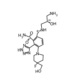 NC[C@@H](O)CNSc1ccc(N2CCC(F)(CO)CC2)c(-c2nn[nH]n2)c1S(N)(=O)=O